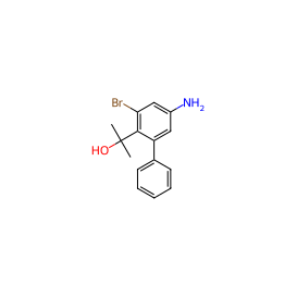 CC(C)(O)c1c(Br)cc(N)cc1-c1ccccc1